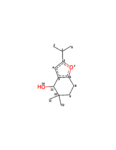 CC(C)c1cc2c(o1)CCC(C)(C)C2O